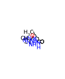 CCCCC(Cc1c[nH]c2ccccc12)NC(=O)C(=N)NC(=N)N1CCN(CC)CC1